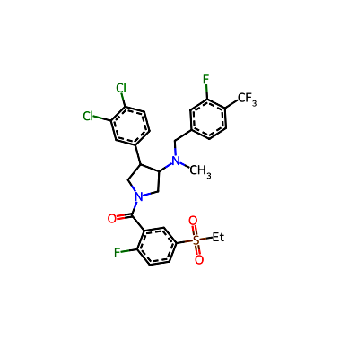 CCS(=O)(=O)c1ccc(F)c(C(=O)N2CC(c3ccc(Cl)c(Cl)c3)C(N(C)Cc3ccc(C(F)(F)F)c(F)c3)C2)c1